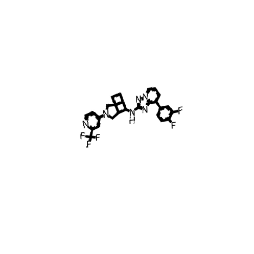 Fc1ccc(-c2cccn3nc(NC4C5CCC56CN(c5ccnc(C(F)(F)F)c5)CC46)nc23)cc1F